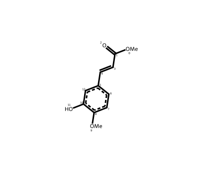 COC(=O)C=Cc1ccc(OC)c(O)c1